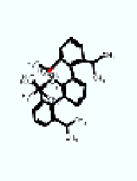 CC(C)c1cccc(C(C)C)c1-c1cccc(-c2c(C(C)C)cccc2C(C)C)c1P(C)C(C)(C)C